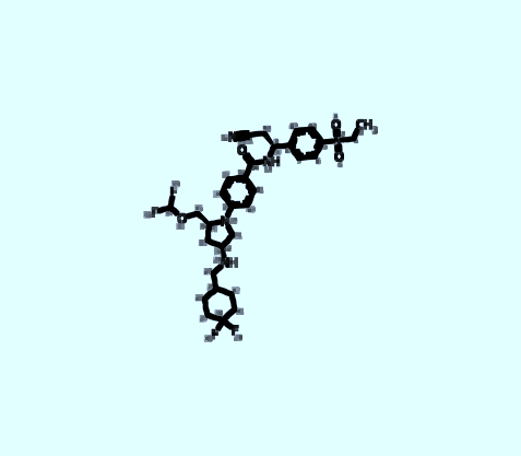 CCS(=O)(=O)c1ccc([C@H](CC#N)NC(=O)c2ccc(N3C[C@@H](NCC4CCC(F)(F)CC4)C[C@H]3COC(F)F)cc2)cc1